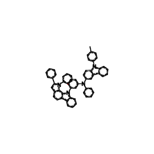 Cc1ccc(-n2c3ccccc3c3cc(N(c4ccccc4)c4cccc(-n5c6ccccc6c6ccc7cc(-c8ccccc8)n(-c8ccccc8)c7c65)c4)ccc32)cc1